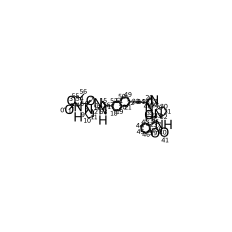 COC(=O)N[C@H](C(=O)N1CCC[C@H]1c1ncc(-c2ccc3cc(C#Cc4cnc([C@@H]5CCCN5C(=O)[C@H](NC(=O)OC)c5ccccc5)[nH]4)ccc3c2)[nH]1)C(C)C